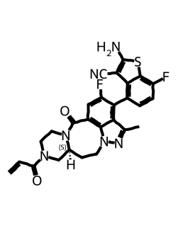 C=CC(=O)N1CCN2C(=O)c3cc(F)c(-c4ccc(F)c5sc(N)c(C#N)c45)c4c(C)nn(c34)CC[C@H]2C1